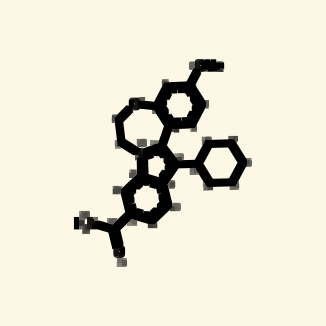 COc1ccc2c(c1)OCCn1c-2c(C2CCCCC2)c2ccc(C(N)=O)cc21